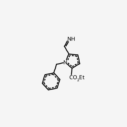 CCOC(=O)c1ccc(C=N)n1Cc1ccccc1